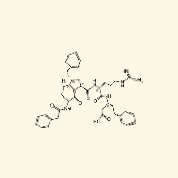 N=C(N)NCCC[C@H](NC(=O)[C@@H]1C[C@@H](Cc2ccccc2)[C@@H]2CCC(NC(=O)Cc3ccccc3)C(=O)N12)C(=O)N[C@@H](CCc1ccccc1)CC(=O)O